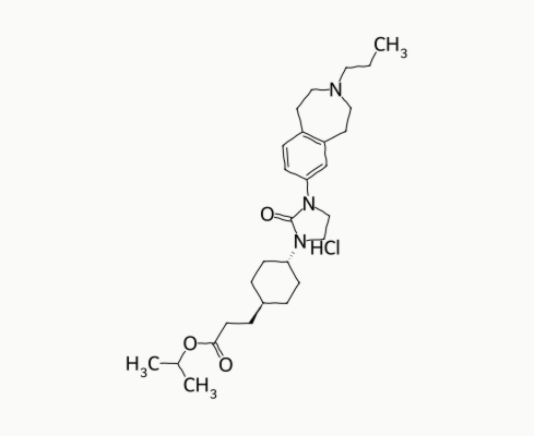 CCCN1CCc2ccc(N3CCN([C@H]4CC[C@H](CCC(=O)OC(C)C)CC4)C3=O)cc2CC1.Cl